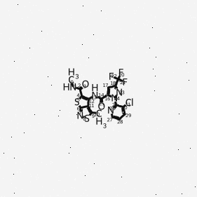 CNC(=O)c1sc2nsc(C)c2c1NC(=O)c1cc(C(F)(F)F)nn1-c1ncccc1Cl